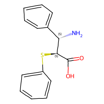 N[C@@H](c1ccccc1)[C@H](Sc1ccccc1)C(=O)O